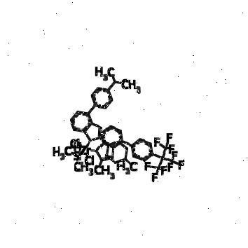 CC1=Cc2c(-c3ccc(C(C(F)(F)F)(C(F)(F)F)C(F)(F)F)cc3)cccc2[CH]1[Zr]([Cl])([Cl])([CH]1C(C2CCC(C)CC2)=Cc2c(-c3ccc(C(C)C)cc3)cccc21)[SiH](C)C